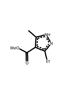 CCc1n[nH]c(C)c1C(=O)OC